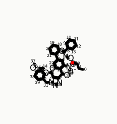 CCCCON(C(=O)c1ccccc1)c1c(-c2ccccc2)ccc(C(=O)c2nnn(Cc3ccc(OC)cc3)c2C(=O)OCC)c1[N+](=O)[O-]